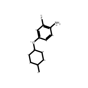 CC1CCC(Oc2ccc(N)c(F)c2)CC1